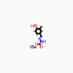 Cc1cc(C=NNC(=O)OC(C)(C)C)ccc1O